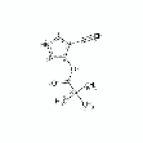 C#Cc1c[nH]nc1OC(=O)C(C)(C)C